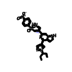 CCC(CC)n1cc(C2=NC(/C(C=N)=C/S(=O)(=O)c3ccc([N+](=O)[O-])cc3)=CN3NCC=C23)cn1